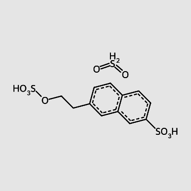 O=S(=O)(O)OCCc1ccc2ccc(S(=O)(=O)O)cc2c1.O=[SH2]=O